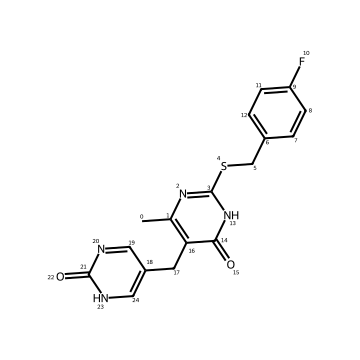 Cc1nc(SCc2ccc(F)cc2)[nH]c(=O)c1Cc1cnc(=O)[nH]c1